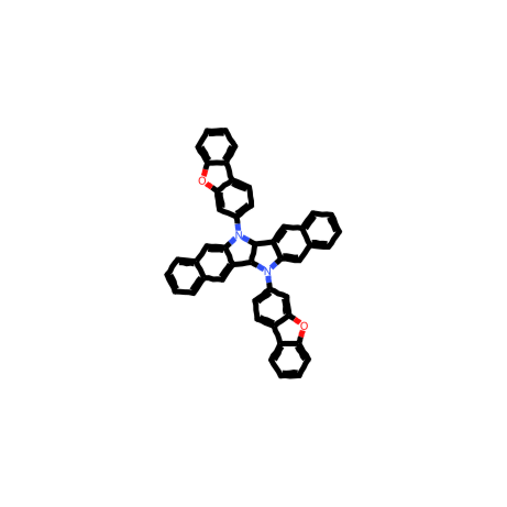 c1ccc2cc3c(cc2c1)C1C(c2cc4ccccc4cc2N1c1ccc2c(c1)oc1ccccc12)N3c1ccc2c(c1)oc1ccccc12